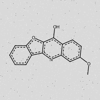 COc1ccc2c(O)c3oc4ccccc4c3nc2c1